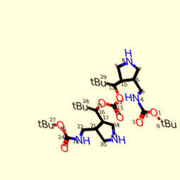 CC(C)(C)OC(=O)NCC1CNCC1C(OC(=O)OC(C1CNCC1CNC(=O)OC(C)(C)C)C(C)(C)C)C(C)(C)C